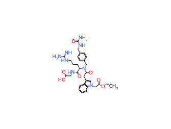 CCOC(=O)Cn1cc(CC(=O)N(Cc2ccc(CNC(N)=O)cc2)[C@H](CCCNC(=N)N)C(=O)NCC(=O)O)c2ccccc21